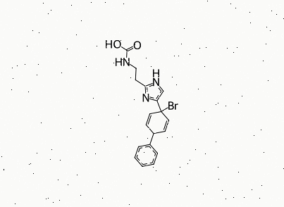 O=C(O)NCCc1nc(C2(Br)C=CC(c3ccccc3)C=C2)c[nH]1